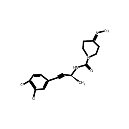 C[C@@H](C#Cc1ccc(Cl)c(Cl)c1)NC(=O)N1CCC(=NO)CC1